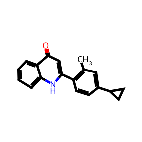 Cc1cc(C2CC2)ccc1-c1cc(=O)c2ccccc2[nH]1